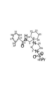 CCCS(=O)(=O)N1CCN(C2(CNC(=O)c3ccccc3C)CCCCC2)CC1